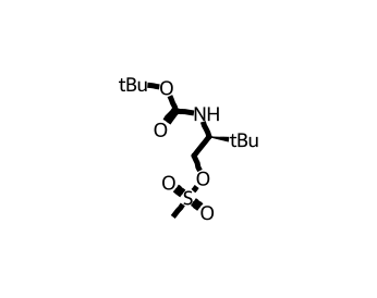 CC(C)(C)OC(=O)N[C@H](COS(C)(=O)=O)C(C)(C)C